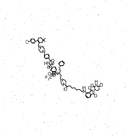 CC1(C)CCC(c2ccc(Cl)cc2)=C(CN2CCN(c3ccc(C(=O)NS(=O)(=O)c4ccc(N[C@H](CCN5CCN(C(=O)CCCCCCNc6cccc7c6C(=O)N(C6CCC(=O)NC6=O)C7=O)CC5)CSc5ccccc5)c(S(=O)(=O)C(F)(F)F)c4)cc3)CC2)C1